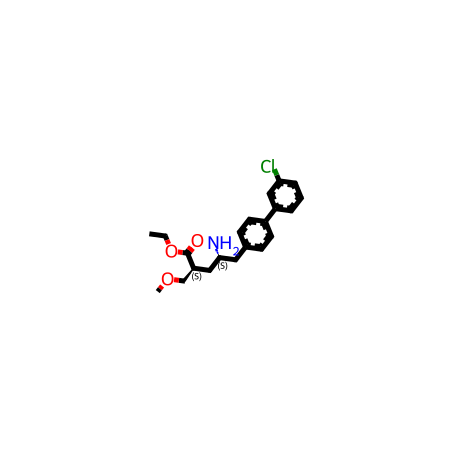 CCOC(=O)[C@H](COC)C[C@H](N)Cc1ccc(-c2cccc(Cl)c2)cc1